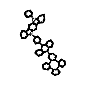 c1ccc(-n2c3ccccc3c3cc4c(cc32)c2ccccc2n4-c2ccc(-c3c4ccccc4c(-c4ccc5c(c4)-c4ccccc4-c4ccccc4-c4ccccc4-5)c4ccccc34)cc2)cc1